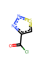 O=C(Cl)c1csnn1